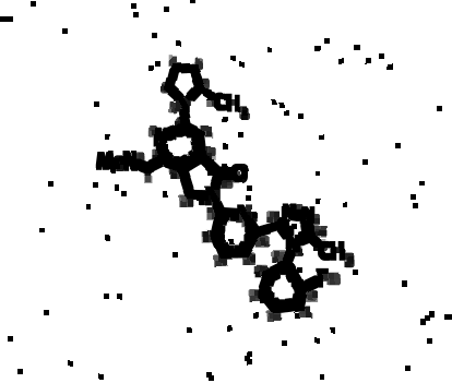 CNCc1nc(N2CCC[C@H]2C)cc2c1CN(c1cccc(-c3nnc(C)n3-c3ccccc3F)n1)C2=O